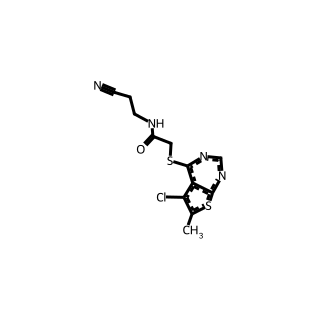 Cc1sc2ncnc(SCC(=O)NCCC#N)c2c1Cl